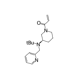 C=CC(=O)N1CCC[C@@H](N(Cc2ccccn2)C(C)(C)C)C1